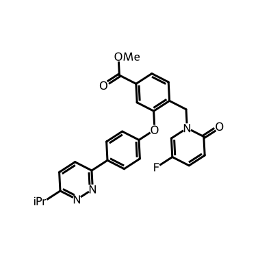 COC(=O)c1ccc(Cn2cc(F)ccc2=O)c(Oc2ccc(-c3ccc(C(C)C)nn3)cc2)c1